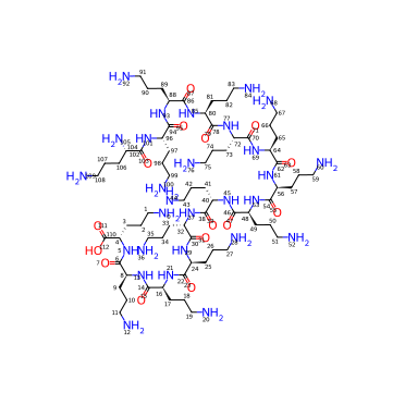 NCCC[C@H](NC(=O)[C@H](CCCN)NC(=O)[C@H](CCCN)NC(=O)[C@H](CCCN)NC(=O)[C@H](CCCN)NC(=O)[C@H](CCCN)NC(=O)[C@H](CCCN)NC(=O)[C@H](CCCN)NC(=O)[C@H](CCCN)NC(=O)[C@H](CCCN)NC(=O)[C@H](CCCN)NC(=O)[C@H](CCCN)NC(=O)[C@H](CCCN)NC(=O)[C@@H](N)CCCN)C(=O)O